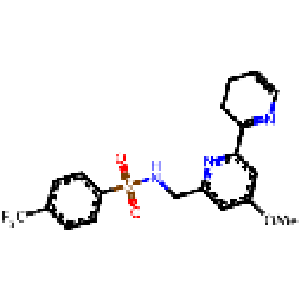 COc1cc(CNS(=O)(=O)c2ccc(C(F)(F)F)cc2)nc(C2=NC=CCC2)c1